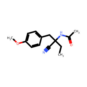 CCC(C#N)(Cc1ccc(OC)cc1)NC(C)=O